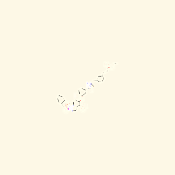 CCOC(=O)CCc1cccc(Cc2csc(-c3cccc(Oc4c(F)cc5c(ccn5S(=O)(=O)Cc5ccccc5)c4[S+](C)[O-])c3)n2)c1